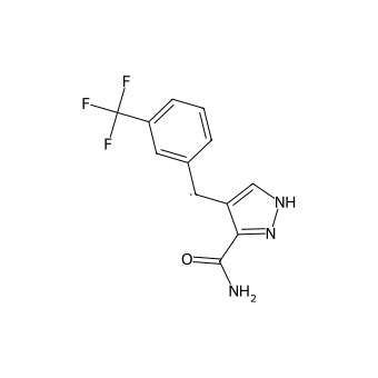 NC(=O)c1n[nH]cc1[CH]c1cccc(C(F)(F)F)c1